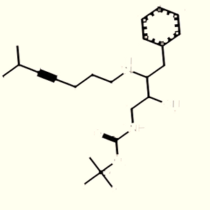 CC(C)C#CCCCNC(Cc1ccccc1)C(O)CNC(=O)OC(C)(C)C